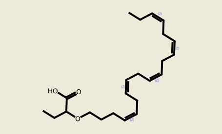 CC/C=C\C/C=C\C/C=C\C/C=C\C/C=C\CCCOC(CC)C(=O)O